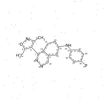 Cc1noc(C)c1-c1nncc2cc(Nc3ccc(F)cc3)ccc12